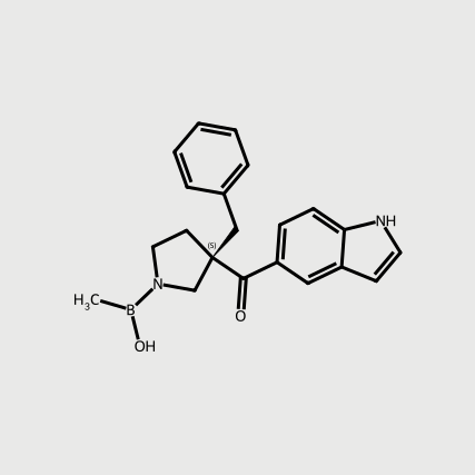 CB(O)N1CC[C@](Cc2ccccc2)(C(=O)c2ccc3[nH]ccc3c2)C1